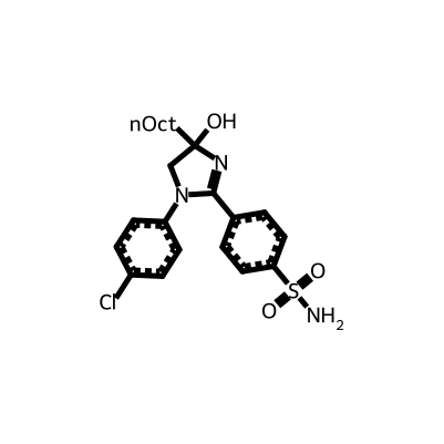 CCCCCCCCC1(O)CN(c2ccc(Cl)cc2)C(c2ccc(S(N)(=O)=O)cc2)=N1